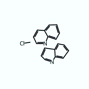 CCl.c1ccc2ncccc2c1.c1ccc2ncccc2c1